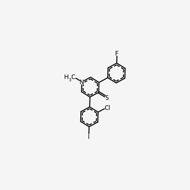 Cn1cc(-c2cccc(F)c2)c(=S)c(-c2ccc(I)cc2Cl)c1